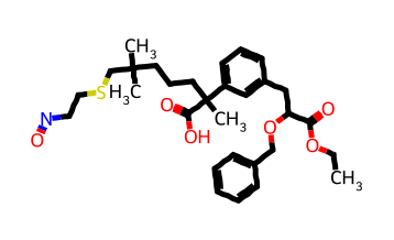 CCOC(=O)C(Cc1cccc(C(C)(CCCC(C)(C)CSCCN=O)C(=O)O)c1)OCc1ccccc1